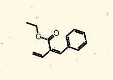 C=CC(=Cc1ccccc1)C(=O)OCC